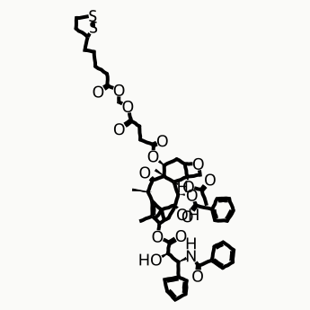 CC(=O)O[C@@]12COC1C[C@H](OC(=O)CCC(=O)OCOC(=O)CCCCC1CCSS1)[C@@]1(C)C(=O)[C@H](C)C3=C(C)C(OC(=O)[C@H](O)[C@@H](NC(=O)c4ccccc4)c4ccccc4)C[C@@](O)([C@@H](OC(=O)c4ccccc4)[C@@H]12)C3(C)C